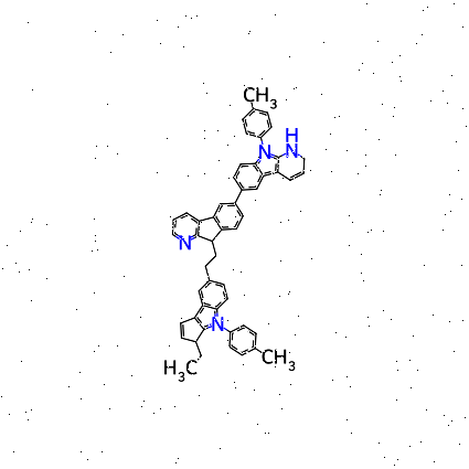 CCC1C=Cc2c1n(-c1ccc(C)cc1)c1ccc(CCC3c4ccc(-c5ccc6c(c5)c5c(n6-c6ccc(C)cc6)NCC=C5)cc4-c4cccnc43)cc21